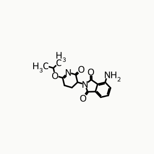 CC(C)OC1=NC(=O)C(N2C(=O)c3cccc(N)c3C2=O)CC1